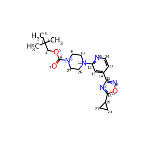 CC(C)(C)COC(=O)N1CCN(c2cc(-c3noc(C4CC4)n3)ccn2)CC1